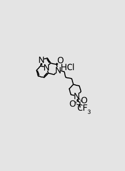 Cl.O=C1c2cnc3cccc(n23)CN1CCCC1CCN(S(=O)(=O)C(F)(F)F)CC1